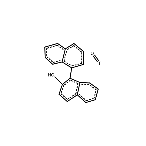 Oc1ccc2ccccc2c1-c1cccc2ccccc12.[O]=[Ti]